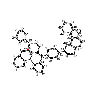 C1=Cc2ccccc2C(c2ccccc2N(c2ccc(-c3ccccc3)cc2)c2ccc(-c3ccc4ccc5oc6ccccc6c5c4c3)cc2)C1